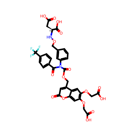 O=C(O)COc1cc2oc(=O)cc(COC(=O)N(C(=O)c3ccc(C(F)(F)F)cc3)c3cccc(CON[C@@H](CC(=O)O)C(=O)O)c3)c2cc1OCC(=O)O